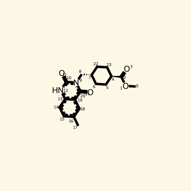 COC(=O)[C@H]1CC[C@H](Cn2c(=O)[nH]c3ccc(C)cc3c2=O)CC1